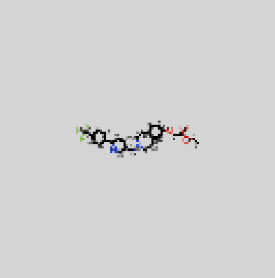 CCOC(=O)COc1ccc2c(c1)CCN(Cc1ccc(-c3ccc(C(F)(F)F)cc3)nc1)CC2